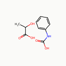 CC(O)C(=O)O.O=C(O)Nc1ccccc1